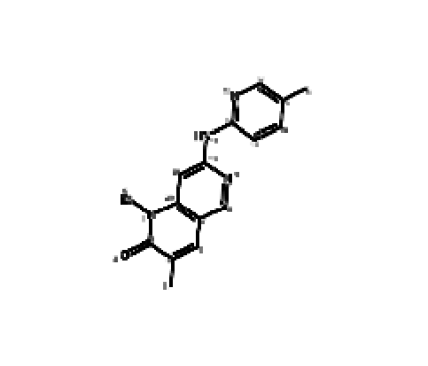 CCn1c(=O)c(C)cc2cnc(Nc3ccc(C)cn3)cc21